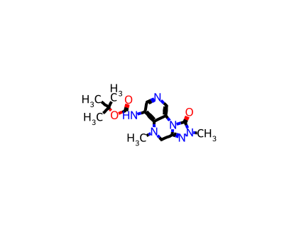 CN1Cc2nn(C)c(=O)n2-c2cncc(NC(=O)OC(C)(C)C)c21